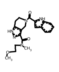 COCCN(C)C(=O)c1n[nH]c2c1CN(C(=O)c1cc3ccccc3[nH]1)CC2